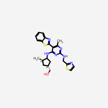 Cc1nc(NCc2nccs2)nc(NC2C[C@H](CO)C[C@H]2C)c1-c1nc2ccccc2s1